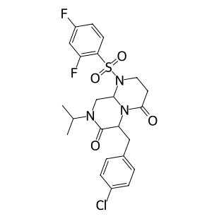 CC(C)N1CC2N(C(=O)CCN2S(=O)(=O)c2ccc(F)cc2F)C(Cc2ccc(Cl)cc2)C1=O